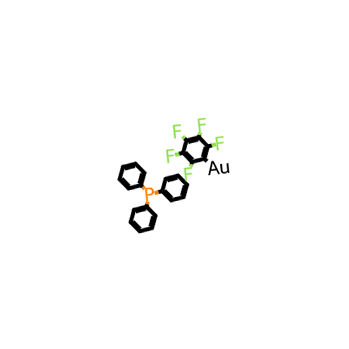 Fc1c(F)c(F)[c]([Au])c(F)c1F.c1ccc(P(c2ccccc2)c2ccccc2)cc1